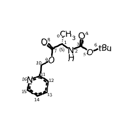 C[C@H](NC(=O)OC(C)(C)C)C(=O)OCc1ccccn1